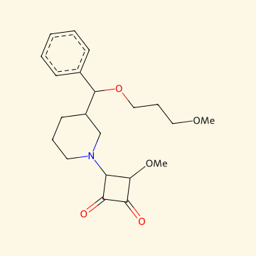 COCCCOC(c1ccccc1)C1CCCN(C2C(=O)C(=O)C2OC)C1